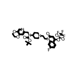 CC(C)(C)OC(=O)N(Cc1cc2c(cn1)OCCO2)C1CCN(CCn2c(=O)cc(OS(=O)(=O)C(F)(F)F)c3ccc(F)cc32)CC1